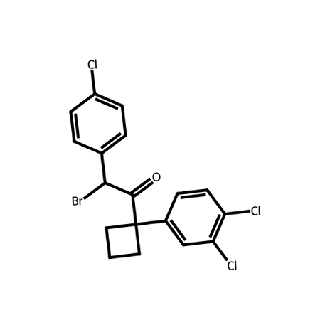 O=C(C(Br)c1ccc(Cl)cc1)C1(c2ccc(Cl)c(Cl)c2)CCC1